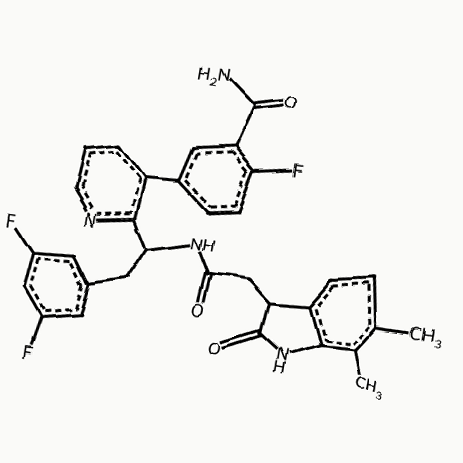 Cc1ccc2c(c1C)NC(=O)C2CC(=O)NC(Cc1cc(F)cc(F)c1)c1ncccc1-c1ccc(F)c(C(N)=O)c1